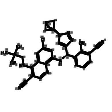 Cc1c(C#N)cccc1[C@H](Nc1cc(Cl)cc2c(NCC(C)(C)C)c(C#N)cnc12)c1cn(C23CC(C2)C3)nn1